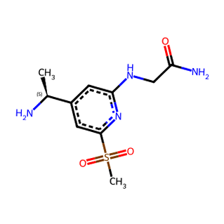 C[C@H](N)c1cc(NCC(N)=O)nc(S(C)(=O)=O)c1